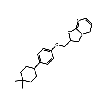 CC1(C)CCC(c2ccc(OCC3CN4CC=CN=C4O3)cc2)CC1